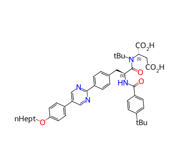 CCCCCCCOc1ccc(-c2cnc(-c3ccc(C[C@H](NC(=O)c4ccc(C(C)(C)C)cc4)C(=O)N([C@@H](CC(=O)O)C(=O)O)C(C)(C)C)cc3)nc2)cc1